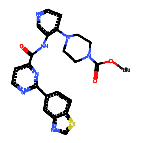 CC(C)(C)OC(=O)N1CCN(c2ccncc2NC(=O)c2ccnc(-c3ccc4scnc4c3)n2)CC1